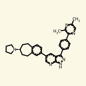 Cc1cnc(-c2ccc(-c3n[nH]c4ncc(-c5ccc6c(c5)CC[C@@H](N5CCCC5)CC6)cc34)cc2)c(C)n1